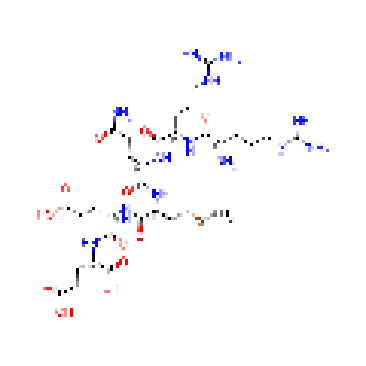 CSCC[C@H](NC(=O)[C@@H](CCC(N)=O)NC(=O)[C@H](CCCNC(=N)N)NC(=O)[C@@H](N)CCCNC(=N)N)C(=O)N[C@@H](CCC(=O)O)C(=O)N[C@@H](CCC(=O)O)C(=O)O